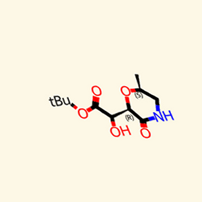 C[C@H]1CNC(=O)[C@@H](C(O)C(=O)OC(C)(C)C)O1